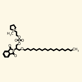 CCCCCCCCCCCCCCCCCCOCC(COP(=O)([O-])OCC[N+]1(C)CCCC1)N1C(=O)c2ccccc2C1=O